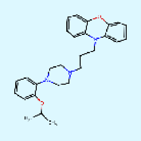 CC(C)Oc1ccccc1N1CCN(CCCN2c3ccccc3Oc3ccccc32)CC1